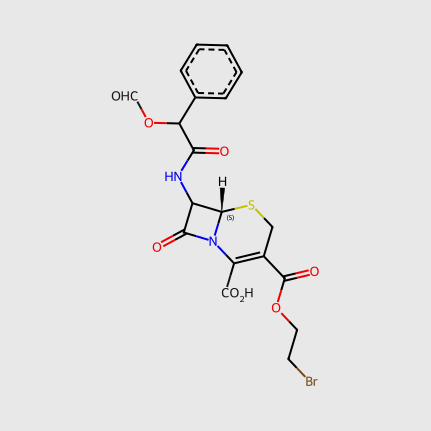 O=COC(C(=O)NC1C(=O)N2C(C(=O)O)=C(C(=O)OCCBr)CS[C@@H]12)c1ccccc1